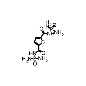 NP(N)(=O)NC(=O)c1ccc(C(=O)NP(N)(N)=O)o1